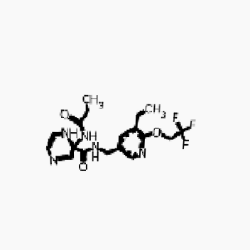 CCC(=O)NC1(C(=O)NCc2cnc(OCC(F)(F)F)c(CC)c2)C=NC=CN1